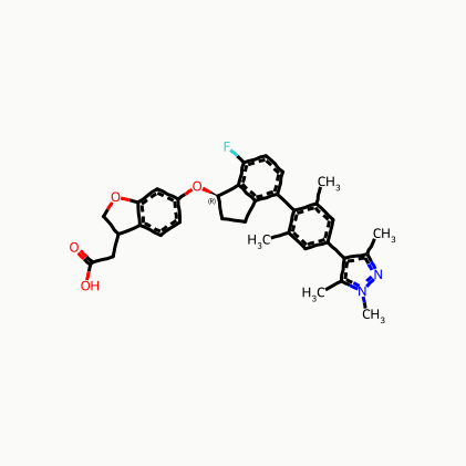 Cc1cc(-c2c(C)nn(C)c2C)cc(C)c1-c1ccc(F)c2c1CC[C@H]2Oc1ccc2c(c1)OCC2CC(=O)O